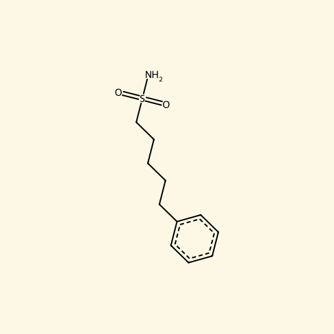 NS(=O)(=O)CCCCCc1ccccc1